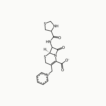 O=C([O-])C1=C(C[n+]2ccccc2)CS[C@H]2C(NC(=O)C3CSCN3)C(=O)N12